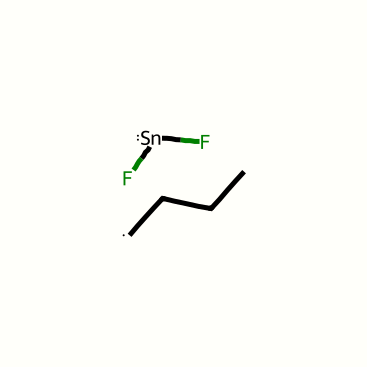 [CH2]CCC.[F][Sn][F]